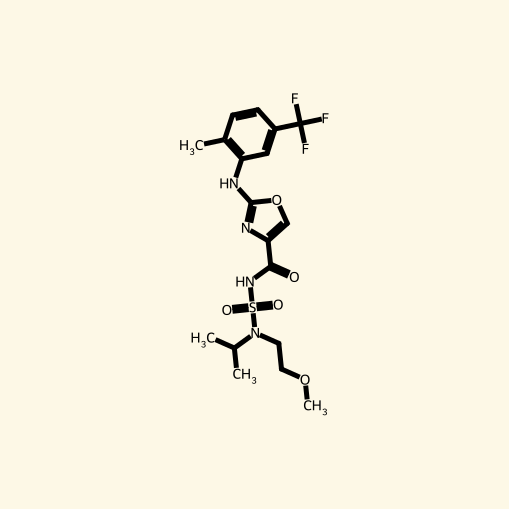 COCCN(C(C)C)S(=O)(=O)NC(=O)c1coc(Nc2cc(C(F)(F)F)ccc2C)n1